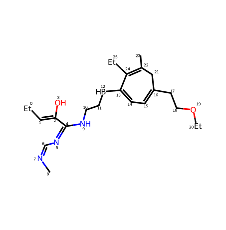 CC/C=C(O)/C(=N\C=N/C)NCCBC1=CC=C(CCOCC)CC(C)=C1CC